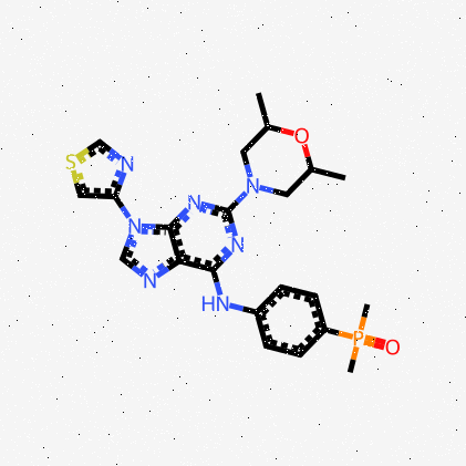 CC1CN(c2nc(Nc3ccc(P(C)(C)=O)cc3)c3ncn(-c4cscn4)c3n2)CC(C)O1